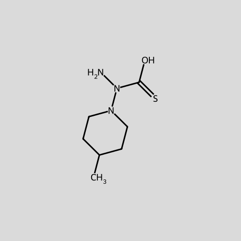 CC1CCN(N(N)C(O)=S)CC1